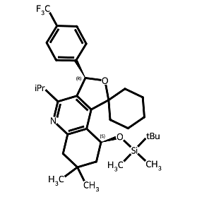 CC(C)c1nc2c(c3c1[C@@H](c1ccc(C(F)(F)F)cc1)OC31CCCCC1)[C@@H](O[Si](C)(C)C(C)(C)C)CC(C)(C)C2